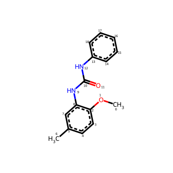 COc1ccc(C)cc1NC(=O)Nc1ccccc1